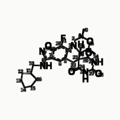 C[C@@H]1CN2c3c(cc4c(NCC5CCCCC5)noc4c3F)CC3(C(=O)NC(=O)NC3=O)[C@H]2[C@H](C)O1